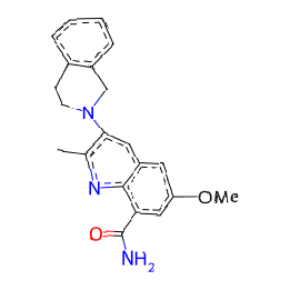 COc1cc(C(N)=O)c2nc(C)c(N3CCc4ccccc4C3)cc2c1